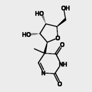 CC1([C@@H]2O[C@H](CO)[C@@H](O)[C@H]2O)C=NC(=O)NC1=O